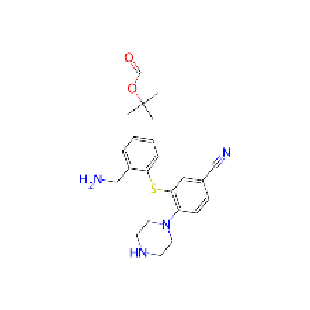 CC(C)(C)OC=O.N#Cc1ccc(N2CCNCC2)c(Sc2ccccc2CN)c1